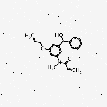 C=CCOc1cc(C(O)c2ccccc2)cc(N(C)C(=O)C=C)c1